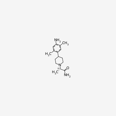 Cc1cc(C2CCN([C@@H](C)C(N)=O)CC2)c(C)cc1N